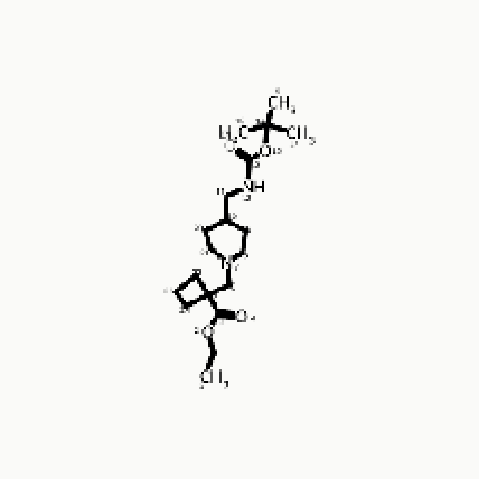 CCOC(=O)C1(CN2CCC(CNC(=O)OC(C)(C)C)CC2)CCC1